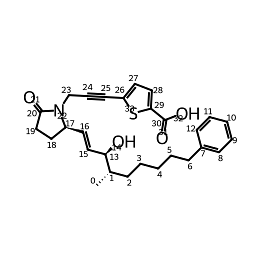 C[C@@H](CCCCCc1ccccc1)[C@H](O)/C=C/[C@H]1CCC(=O)N1CC#Cc1ccc(C(=O)O)s1